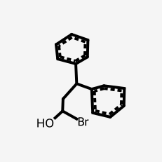 OC(Br)CC(c1ccccc1)c1ccccc1